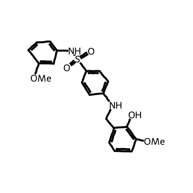 COc1cccc(NS(=O)(=O)c2ccc(NCc3cccc(OC)c3O)cc2)c1